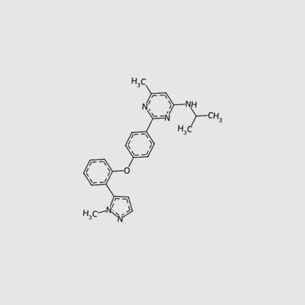 Cc1cc(NC(C)C)nc(-c2ccc(Oc3ccccc3-c3ccnn3C)cc2)n1